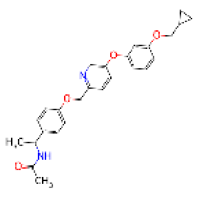 CC(=O)NC(C)c1ccc(OCc2ccc(Oc3cccc(OCC4CC4)c3)cn2)cc1